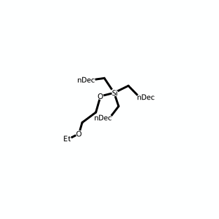 CCCCCCCCCCC[Si](CCCCCCCCCCC)(CCCCCCCCCCC)OCCOCC